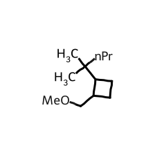 CCCC(C)(C)C1CCC1COC